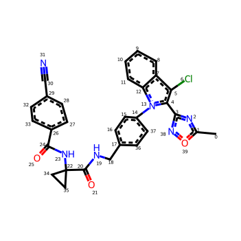 Cc1nc(-c2c(Cl)c3ccccc3n2-c2ccc(CNC(=O)C3(NC(=O)c4ccc(C#N)cc4)CC3)cc2)no1